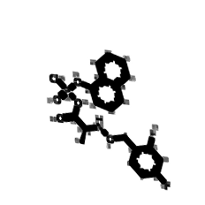 C[C@H](NOCc1ccc(F)cc1F)C(=O)OP(=O)(Cl)Oc1cccc2ccccc12